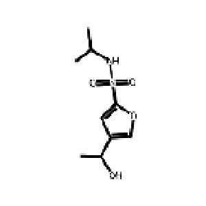 CC(C)NS(=O)(=O)c1cc(C(C)O)co1